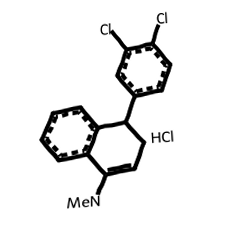 CNC1=CCC(c2ccc(Cl)c(Cl)c2)c2ccccc21.Cl